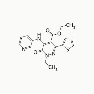 CCOC(=O)c1c(-c2cccs2)nn(CC)c(=O)c1Nc1cccnc1